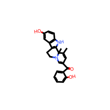 CC1=CC(C(=O)c2ccccc2O)=CN2CCc3c([nH]c4ccc(O)cc34)C12C